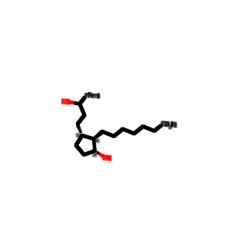 CCCCCC(O)CC[C@H]1CC[C@@H](O)[C@@H]1CCCCCCC(=O)OCC